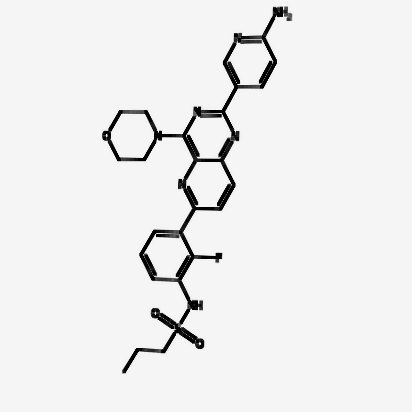 CCCS(=O)(=O)Nc1cccc(-c2ccc3nc(-c4ccc(N)nc4)nc(N4CCOCC4)c3n2)c1F